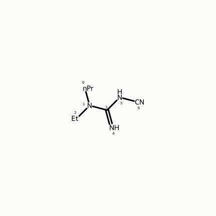 CCCN(CC)C(=N)NC#N